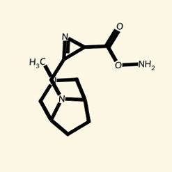 CN1CC2CCC(C1)N2CC1=NC1C(=O)ON